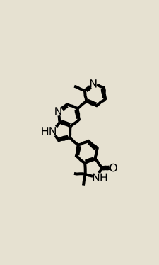 Cc1ncccc1-c1cnc2[nH]cc(-c3ccc4c(c3)C(C)(C)NC4=O)c2c1